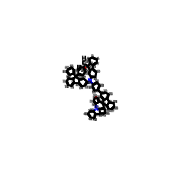 CC1(C)c2ccccc2-c2ccc(N(c3ccc(-c4ccc5c(c4)C4(c6ccccc6-5)c5ccccc5-n5c6ccccc6c6cccc4c65)cc3)c3ccc4c(c3)C(c3ccccc3)(c3ccccc3)c3ccccc3-4)cc21